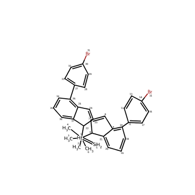 [CH3][Hf]([CH3])([CH3])([CH3])(=[SiH2])([CH]1C=Cc2c(-c3ccc(Br)cc3)cccc21)[CH]1C=Cc2c(-c3ccc(Br)cc3)cccc21